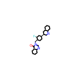 O=c1c2ccccc2ncn1Cc1ccc(-c2cnc3ccccc3c2)cc1F